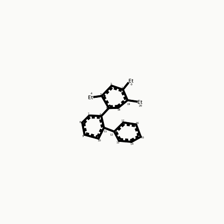 CCc1cc(CC)c(-c2ccccc2-c2ccccc2)cc1CC